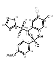 COc1ccc(S(=O)(=O)Nc2cc(Cl)c(Cl)cc2NS(=O)(=O)c2cccs2)cn1